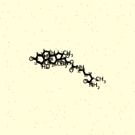 C[C@@H]1C[C@H]2[C@@H]3CCC4=CC(=O)C=C[C@]4(C)[C@@]3(F)[C@@H](O)C[C@]2(C)[C@@]1(O)C(=O)COC(=O)NCCCC[C@H](C)C(N)=O